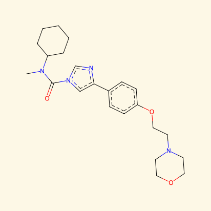 CN(C(=O)n1cnc(-c2ccc(OCCN3CCOCC3)cc2)c1)C1CCCCC1